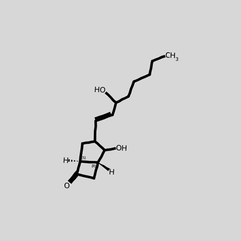 CCCCCC(O)C=CC1C[C@@H]2C(=O)C[C@H]2C1O